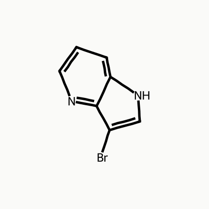 Brc1c[nH]c2cccnc12